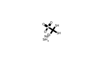 CCC(S)(S)S(=O)(=O)[O-].[Na+].[SiH4]